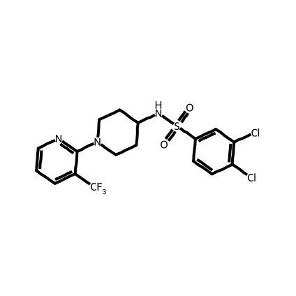 O=S(=O)(NC1CCN(c2ncccc2C(F)(F)F)CC1)c1ccc(Cl)c(Cl)c1